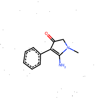 CN1CC(=O)C(c2ccccc2)=C1N